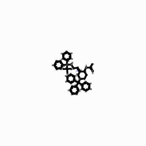 CC(=O)OC1CCN(C(c2ccccc2)(c2ccccc2)c2ccccc2)C/C1=C\CO[Si](c1ccccc1)(c1ccccc1)C(C)(C)C